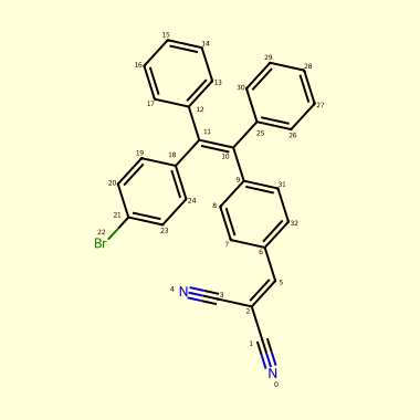 N#CC(C#N)=Cc1ccc(C(=C(c2ccccc2)c2ccc(Br)cc2)c2ccccc2)cc1